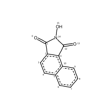 O=C1c2ccc3ccccc3c2C(=O)N1O